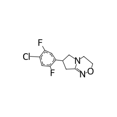 Fc1cc(C2CC3=NOCCN3C2)c(F)cc1Cl